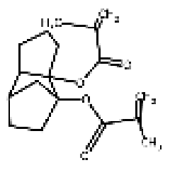 C=C(C)C(=O)OC12CCC(C1)C1CCCC12OC(=O)C(=C)C